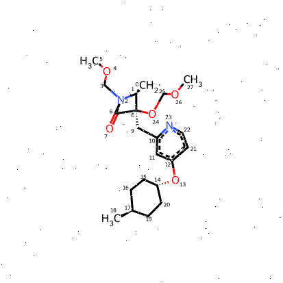 [CH2][C@@H]1N(COC)C(=O)[C@]1(Cc1cc(O[C@H]2CC[C@H](C)CC2)ccn1)OCOC